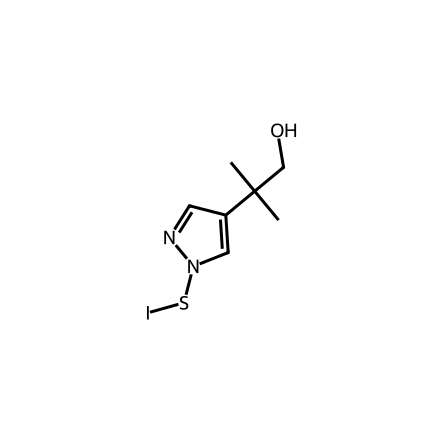 CC(C)(CO)c1cnn(SI)c1